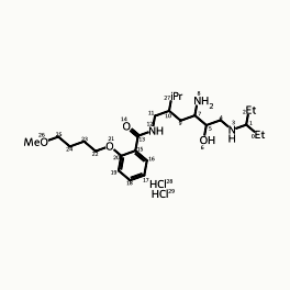 CCC(CC)NCC(O)C(N)CC(CNC(=O)c1ccccc1OCCCCOC)C(C)C.Cl.Cl